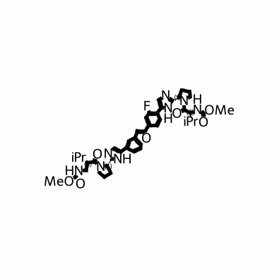 COC(=O)NC[C@H](C(=O)N1CCC[C@H]1c1ncc(-c2ccc3oc(-c4ccc(-c5cnc([C@@H]6CCCN6C(=O)[C@@H](NC(=O)OC)C(C)C)[nH]5)c(F)c4)cc3c2)[nH]1)C(C)C